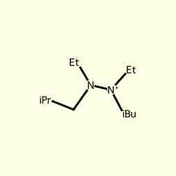 CCC(C)[N+](CC)N(CC)CC(C)C